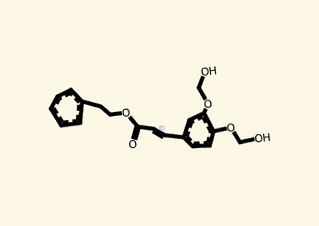 O=C(/C=C/c1ccc(OCO)c(OCO)c1)OCCc1ccccc1